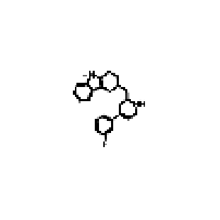 Fc1cccc(C2=CCNC(CC3CCc4[nH]c5ccccc5c4C3)C2)c1